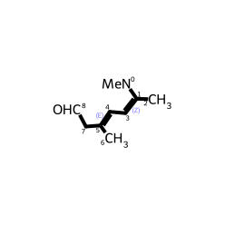 CN/C(C)=C\C=C(/C)CC=O